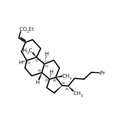 CCOC(=O)C=C1CC[C@@]2(C)[C@@H](CC[C@@H]3[C@@H]2CC[C@]2(C)[C@@H]([C@H](C)CCCC(C)C)CC[C@@H]32)C1